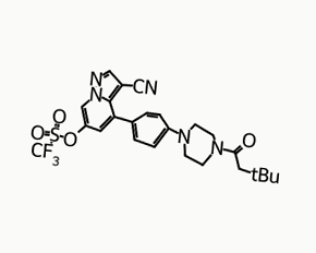 CC(C)(C)CC(=O)N1CCN(c2ccc(-c3cc(OS(=O)(=O)C(F)(F)F)cn4ncc(C#N)c34)cc2)CC1